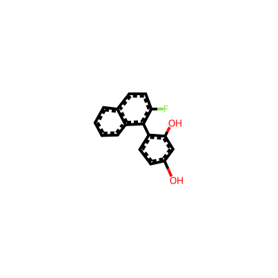 Oc1ccc(-c2c(F)ccc3ccccc23)c(O)c1